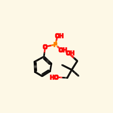 CC(C)(CO)CO.OP(O)Oc1ccccc1